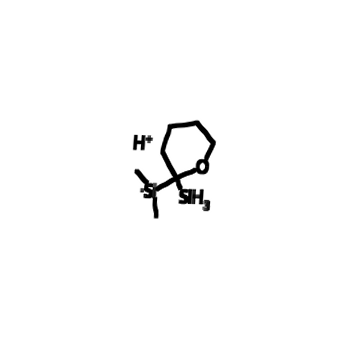 C[Si](C)C1([SiH3])CCCCO1.[H+]